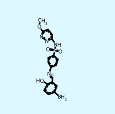 Bc1ccc(O)c(/C=N/c2ccc(S(=O)(=O)Nc3ccc(OC)nn3)cc2)c1